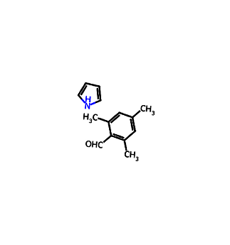 Cc1cc(C)c(C=O)c(C)c1.c1cc[nH]c1